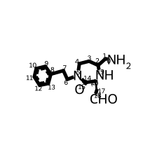 NCC1CCN(CCc2ccccc2)C(=O)[C@H](CC=O)N1